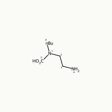 CCCCN(CCN)C(=O)O